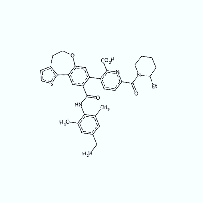 CCC1CCCCN1C(=O)c1ccc(-c2cc3c(cc2C(=O)Nc2c(C)cc(CN)cc2C)-c2sccc2CCO3)c(C(=O)O)n1